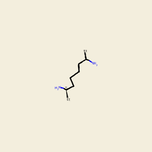 CCC(N)CCCC[C@H](N)CC